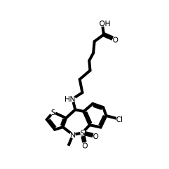 CN1c2ccsc2C(NCCCCCCC(=O)O)c2ccc(Cl)cc2S1(=O)=O